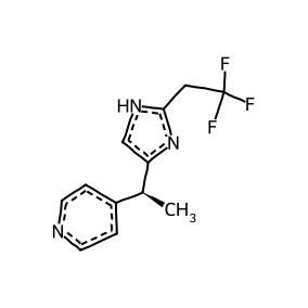 C[C@@H](c1ccncc1)c1c[nH]c(CC(F)(F)F)n1